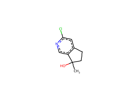 CC1(O)CCc2cc(Cl)ncc21